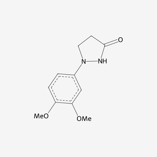 COc1ccc(N2CCC(=O)N2)cc1OC